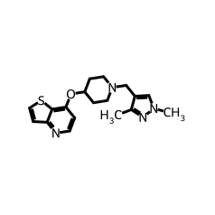 Cc1nn(C)cc1CN1CCC(Oc2ccnc3ccsc23)CC1